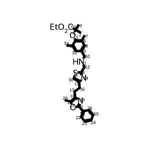 CCOC(=O)C(C)(C)Oc1c(C)cc(CNCc2nc(CCc3nc(-c4ccccc4)oc3C)cs2)cc1C